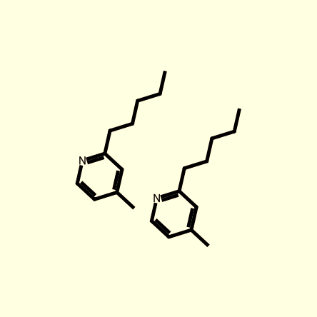 CCCCCc1cc(C)ccn1.CCCCCc1cc(C)ccn1